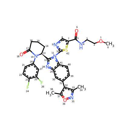 COCCNC(=O)c1cnc(-n2c([C@@H]3CCCC(=O)N3c3ccc(F)c(F)c3)nc3cc(-c4c(C)noc4C)ccc32)s1